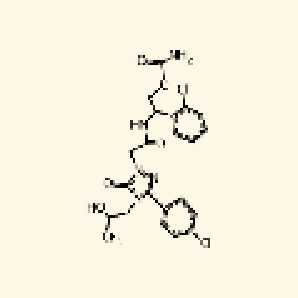 NC(=O)OCC(NC(=O)Cn1nc(-c2ccc(Cl)cc2)n(CC(O)C(F)(F)F)c1=O)c1ccccc1Cl